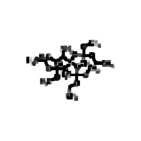 CCOC(C)(OC)O[Si](OC(C)(OC)OCC)(OC(C)(OC)OCC)C(N)CC